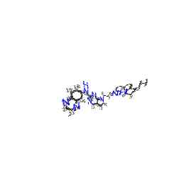 C1CCC1.O=C(O)NCCCn1ccc2cnc(Nc3ccc4nccnc4c3)nc21